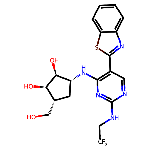 OC[C@H]1C[C@@H](Nc2nc(NCC(F)(F)F)ncc2-c2nc3ccccc3s2)[C@H](O)[C@@H]1O